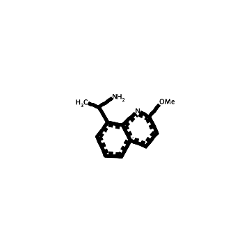 COc1ccc2cccc(C(C)N)c2n1